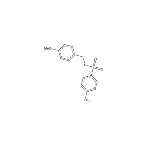 COc1ccc([I+]OS(=O)(=O)c2ccc(C)cc2)cc1